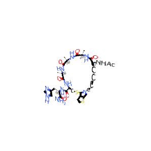 CC(=O)N[C@H]1CCCCn2cc3sccc3c2SC[C@@H](C(=O)N[C@@H](Cc2c[nH]cn2)C(N)=O)NC(=O)[C@H](C)NC(=O)[C@H](C)NC(=O)[C@H](C)NC1=O